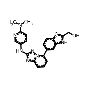 CN(C)c1ccc(Nc2nc3cccc(-c4ccc5nc(CO)[nH]c5c4)n3n2)cn1